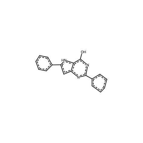 Oc1nc(-c2ccccc2)nc2cc(-c3ccccc3)[nH]c12